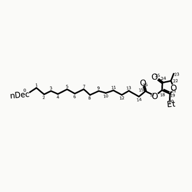 CCCCCCCCCCCCCCCCCCCCCCCCC(=O)OC1=C(CC)OC(C)C1=O